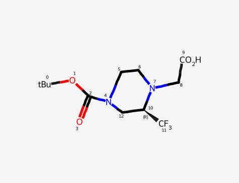 CC(C)(C)OC(=O)N1CCN(CC(=O)O)[C@@H](C(F)(F)F)C1